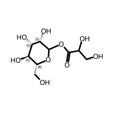 O=C(OC1O[C@H](CO)[C@@H](O)[C@H](O)[C@@H]1O)C(O)CO